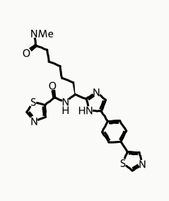 CNC(=O)CCCCC[C@H](NC(=O)c1cncs1)c1ncc(-c2ccc(-c3cncs3)cc2)[nH]1